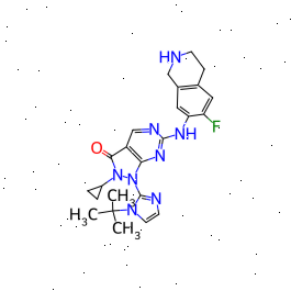 CC(C)(C)n1ccnc1-n1c2nc(Nc3cc4c(cc3F)CCNC4)ncc2c(=O)n1C1CC1